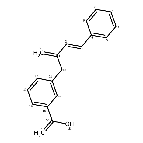 C=C(/C=C/c1ccccc1)Cc1cccc(C(=C)O)c1